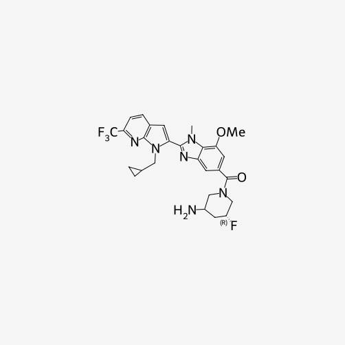 COc1cc(C(=O)N2CC(N)C[C@@H](F)C2)cc2nc(-c3cc4ccc(C(F)(F)F)nc4n3CC3CC3)n(C)c12